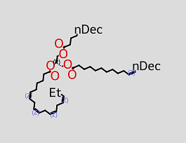 CC/C=C\C/C=C\C/C=C\C/C=C\CCCCC(=O)O[C@@H](COC(=O)CCCCCCCCC/C=C\CCCCCCCCCC)COC(=O)CCCCCCCCCCCCC